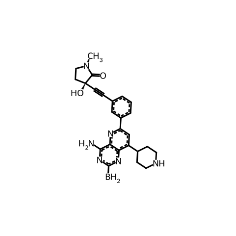 Bc1nc(N)c2nc(-c3cccc(C#C[C@]4(O)CCN(C)C4=O)c3)cc(C3CCNCC3)c2n1